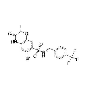 CC1Oc2cc(S(=O)(=O)NCc3ccc(C(F)(F)F)cc3)c(Br)cc2NC1=O